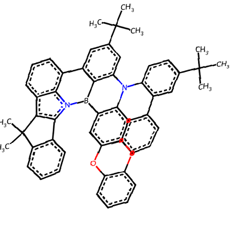 CC(C)(C)c1ccc(N2c3cc4c(cc3B3c5c(cc(C(C)(C)C)cc52)-c2cccc5c6c(n3c25)-c2ccccc2C6(C)C)Oc2ccccc2O4)c(-c2ccccc2)c1